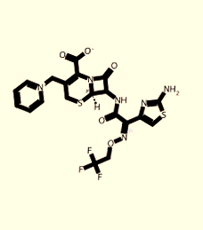 Nc1nc(/C(=N/OCC(F)(F)F)C(=O)NC2C(=O)N3C(C(=O)[O-])=C(C[n+]4ccccc4)CS[C@H]23)cs1